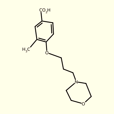 Cc1cc(C(=O)O)ccc1OCCCN1CCOCC1